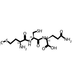 CSCC[C@H](N)C(=O)N[C@@H](CS)C(=O)N[C@@H](CCC(N)=O)C(=O)O